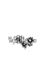 CC(C)(C)[Si](C)(C)OC[C@H]1C=C(F)[C@@H](n2cnc3c(Cl)ncnc32)O1